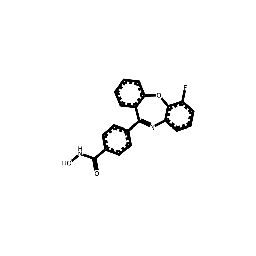 O=C(NO)c1ccc(C2=Nc3cccc(F)c3Oc3ccccc32)cc1